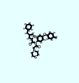 O=C(CN1CCSCC1)N(C(=O)C1CC(Cc2ccccc2)CN1)c1ccc(Oc2ccc(F)cc2)cc1